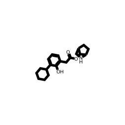 O=C(Cc1cccc(C2CCCCC2)c1O)OC1C2CCC1NC2